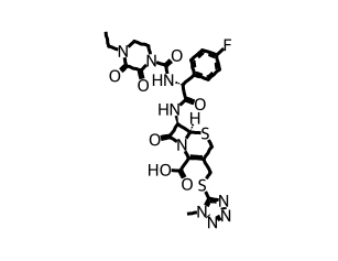 CCN1CCN(C(=O)N[C@@H](C(=O)N[C@@H]2C(=O)N3C(C(=O)O)=C(CSc4nnnn4C)CS[C@H]23)c2ccc(F)cc2)C(=O)C1=O